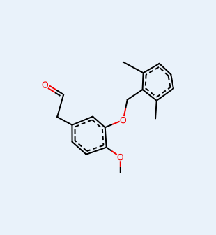 COc1ccc(CC=O)cc1OCc1c(C)cccc1C